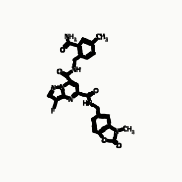 Cc1ccc(CNC(=O)c2cc(C(=O)NCc3ccc4oc(=O)n(C)c4c3)nc3c(F)cnn23)c(C(N)=O)c1